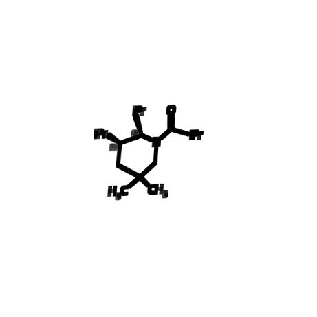 CC(C)C(=O)N1CC(C)(C)C[C@@H](C(C)C)[C@H]1C(C)C